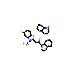 CN1C(=CC(=O)c2cccc3ccccc23)Sc2ccc(F)cc21.c1ccc2ncccc2c1